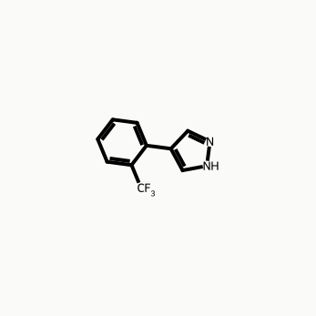 FC(F)(F)c1ccccc1-c1cn[nH]c1